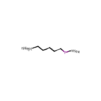 CCCCCCCCCCCC[P]CCCCCC